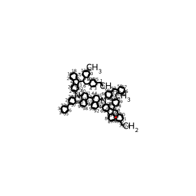 C=Cc1ccc(CC(c2ccc(C)cc2)C2c3ccccc3-c3ccc(N(c4ccc(-c5ccccc5)cc4)c4ccc(C5=CCC(N(c6ccc(Cc7ccccc7)cc6)c6ccc7c(c6)C(Cc6ccc(C=C)cc6)(c6ccc(C)cc6)c6ccccc6-7)c6ccccc65)c5ccccc45)cc32)cc1